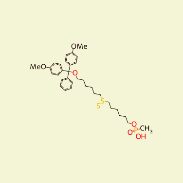 COc1ccc(C(OCCCCCCS(=S)CCCCCCOP(C)(=O)O)(c2ccccc2)c2ccc(OC)cc2)cc1